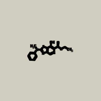 CCOC(=O)c1ncc2nc(N(C)c3ccccc3)sc2c1O